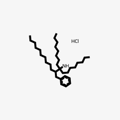 CCCCCCCCCCC(Cc1ccccc1)C(N)(CCCCCCCC)CCCCCCCC.Cl